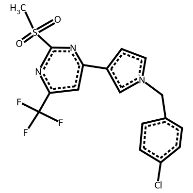 CS(=O)(=O)c1nc(-c2ccn(Cc3ccc(Cl)cc3)c2)cc(C(F)(F)F)n1